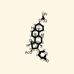 CCCC(=O)O[C@H]1CC[C@@]2(C)[C@H](CC[C@@H]3[C@@H]2CC[C@]2(C)[C@@H](c4ccc(=O)oc4)[C@@H](OC(C)=O)[C@H]4O[C@]342)C1